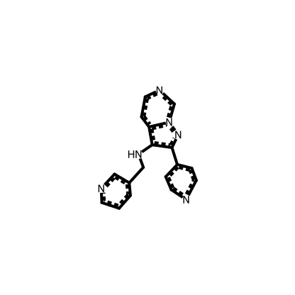 c1cncc(CNc2c(-c3ccncc3)nn3cnccc23)c1